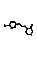 O=C1CSCCN1CCCc1ccc(Br)nc1